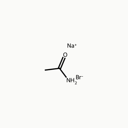 CC(N)=O.[Br-].[Na+]